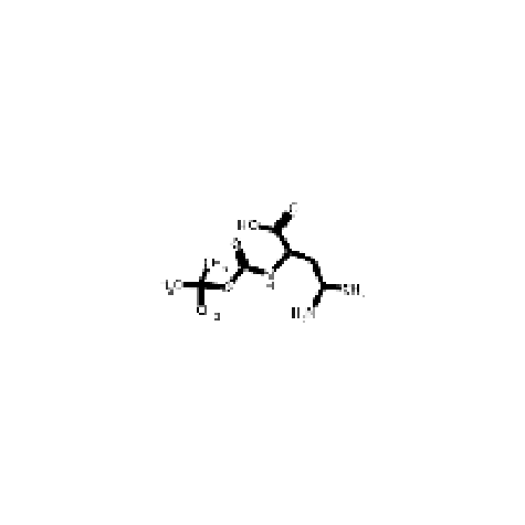 CC(N)CC(NC(=O)OC(C)(C)C)C(=O)O